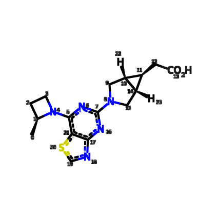 C[C@H]1CCN1c1nc(N2C[C@@H]3[C@@H](CC(=O)O)[C@@H]3C2)nc2ncsc12